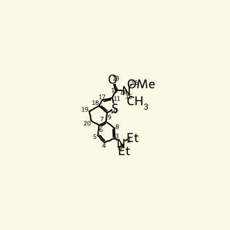 CCN(CC)c1ccc2c(c1)-c1sc(C(=O)N(C)OC)cc1CC2